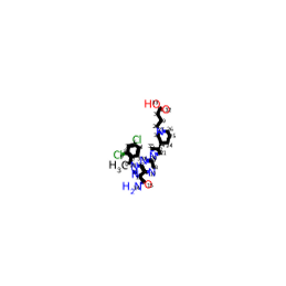 CC(c1ccc(Cl)cc1Cl)n1nc(C(N)=O)c2ncc(N3CC([C@@H]4CCCN(CCCC(=O)O)C4)C3)nc21